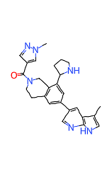 Cc1c[nH]c2ncc(-c3cc4c(c(C5CCCN5)c3)CN(C(=O)c3cnn(C)c3)CC4)cc12